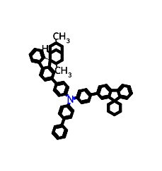 C[C@@H]1CC2C[C@@H](C1)[C@@]1(c3ccccc3-c3ccc(-c4ccc(N(c5ccc(-c6ccccc6)cc5)c5ccc(-c6ccc7c(c6)C6(CCCCC6)c6ccccc6-7)cc5)cc4)cc31)[C@@H](C)C2